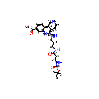 COC(=O)c1ccc2c(c1)nc(NCCCNC(=O)CCNC(=O)OC(C)(C)C)c1ccncc12